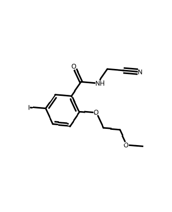 COCCOc1ccc(I)cc1C(=O)NCC#N